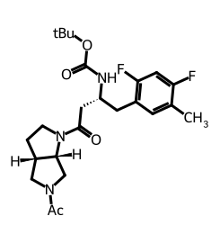 CC(=O)N1C[C@@H]2CCN(C(=O)C[C@@H](Cc3cc(C)c(F)cc3F)NC(=O)OC(C)(C)C)[C@@H]2C1